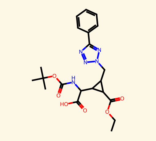 CCOC(=O)C1C(Cn2nnc(-c3ccccc3)n2)C1C(NC(=O)OC(C)(C)C)C(=O)O